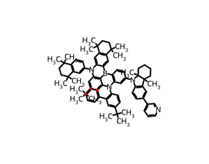 CC(C)(C)c1ccc(N2c3cc(N4c5ccc(-c6cccnc6)cc5C5(C)CCCCC45C)ccc3B3c4cc5c(cc4N(c4ccc6c(c4)C(C)(C)CCC6(C)C)c4cc(C(C)(C)C)cc2c43)C(C)(C)CCC5(C)C)c(-c2ccccc2)c1